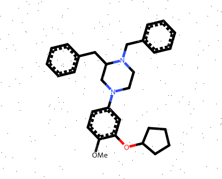 COc1ccc(N2CCN(Cc3ccccc3)C(Cc3ccccc3)C2)cc1OC1CCCC1